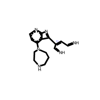 N=C/C=C(\C=N)C1=Nc2nccc(N3CCCNCC3)c21